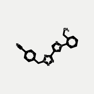 CCc1ccccc1-n1cc(-c2nnn(Cc3ccc(C#N)cc3)n2)cn1